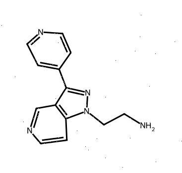 NCCn1nc(-c2ccncc2)c2cnccc21